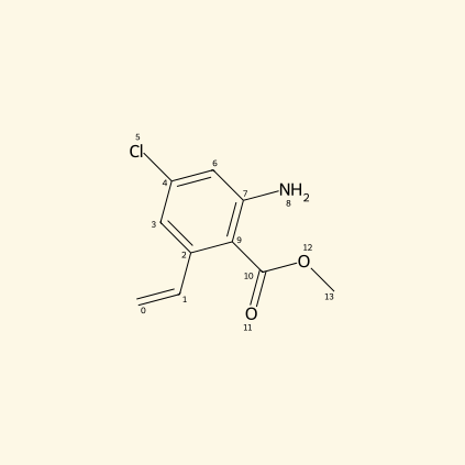 C=Cc1cc(Cl)cc(N)c1C(=O)OC